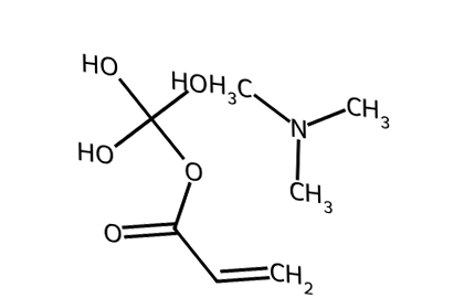 C=CC(=O)OC(O)(O)O.CN(C)C